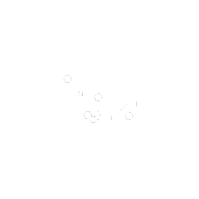 COc1ccccc1COCCCOc1ccc(C2CCN(C(=O)OCc3ccccc3)CC2OCc2ccc3ccn(C(C)=O)c3c2)cc1